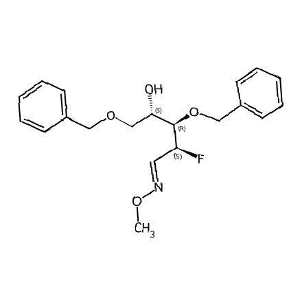 CON=C[C@H](F)[C@H](OCc1ccccc1)[C@@H](O)COCc1ccccc1